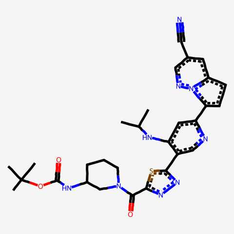 CC(C)Nc1cc(-c2ccc3cc(C#N)cnn23)ncc1-c1nnc(C(=O)N2CCCC(NC(=O)OC(C)(C)C)C2)s1